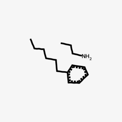 CCCCCCc1ccccc1.CCCN